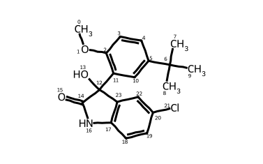 COc1ccc(C(C)(C)C)cc1C1(O)C(=O)Nc2ccc(Cl)cc21